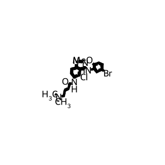 COc1ccc(Br)cc1Nc1ncnc2ccc(NC(=O)/C=C/CN(C)C)c(Cl)c12